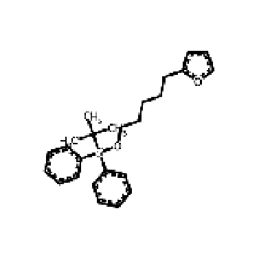 CC(C)(C)[Si](OCCCCCc1ccco1)(c1ccccc1)c1ccccc1